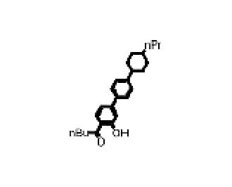 CCCCC(=O)c1ccc(-c2ccc(C3CCC(CCC)CC3)cc2)cc1O